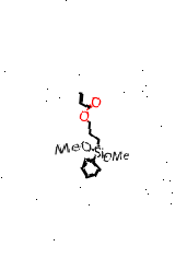 C=CC(=O)OCCC[Si](OC)(OC)c1ccccc1